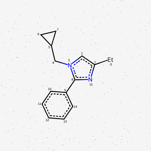 CCc1cn(CC2CC2)c(-c2ccccc2)n1